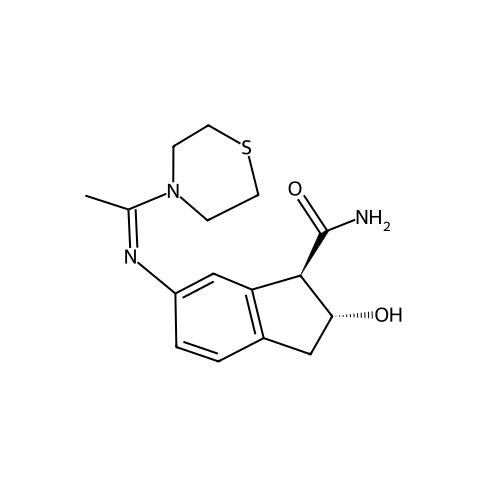 CC(=Nc1ccc2c(c1)[C@@H](C(N)=O)[C@H](O)C2)N1CCSCC1